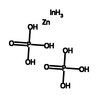 O=P(O)(O)O.O=P(O)(O)O.[InH3].[Zn]